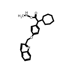 CNOC(=O)C(c1ccc(OCc2ccc3ccccc3n2)cc1)C1CCCCCC1